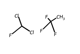 CC(F)(F)F.FC(Cl)Cl